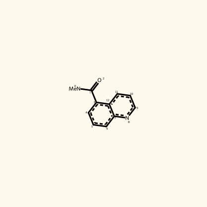 [CH2+][N-]C(=O)c1cccc2ncccc12